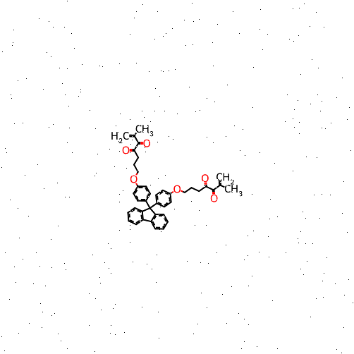 C=C(C)C(=O)C(=O)CCCOc1ccc(C2(c3ccc(OCCCC(=O)C(=O)C(=C)C)cc3)c3ccccc3-c3ccccc32)cc1